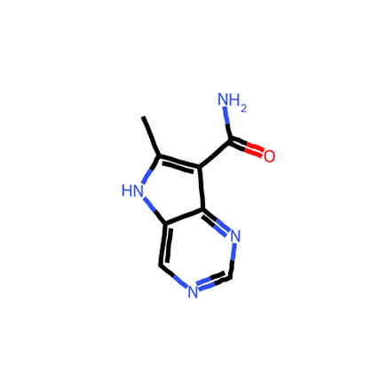 Cc1[nH]c2cncnc2c1C(N)=O